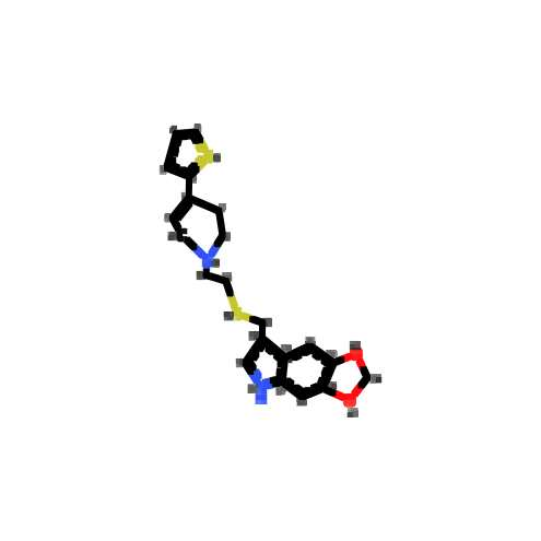 C1=C(c2cccs2)CCN(CCSCc2c[nH]c3cc4c(cc23)OCO4)C1